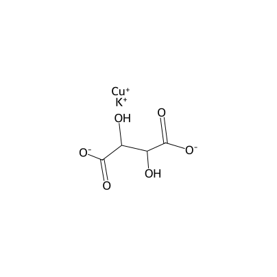 O=C([O-])C(O)C(O)C(=O)[O-].[Cu+].[K+]